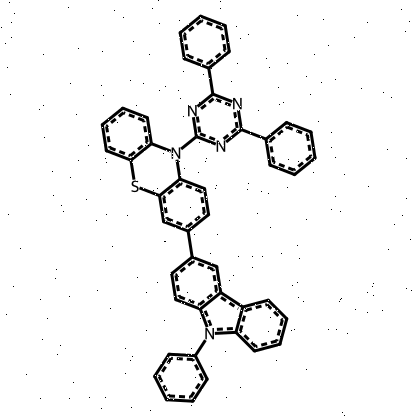 c1ccc(-c2nc(-c3ccccc3)nc(N3c4ccccc4Sc4cc(-c5ccc6c(c5)c5ccccc5n6-c5ccccc5)ccc43)n2)cc1